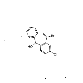 OC1c2ccc(Cl)cc2C(Br)=Cc2cccnc21